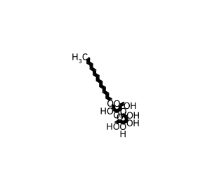 CCCCCCCCCCCCCCCCO[C@@H]1OC(CO)[C@H](O[C@@H]2OC(CO)[C@@H](O)[C@@H](O)C2O)[C@@H](O)C1O